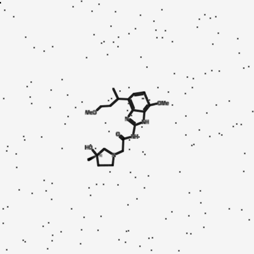 COCCC(C)c1ccc(OC)c2[nH]c(NC(=O)CN3CC[C@](C)(O)C3)nc12